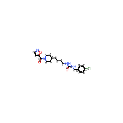 O=C(NCCCCC1CCN(C(=O)c2ccno2)CC1)NCc1ccc(Cl)cc1